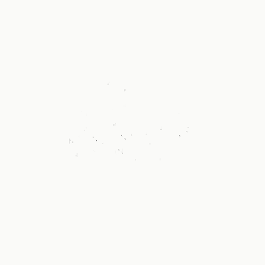 CCCN(Cc1ccc(C(C)(C)C)cc1)N=C(c1ccccc1Cl)n1ccnc1